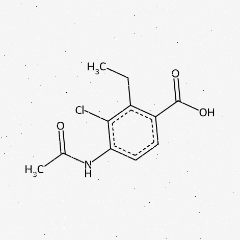 CCc1c(C(=O)O)ccc(NC(C)=O)c1Cl